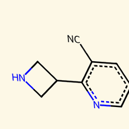 N#Cc1cccnc1C1CNC1